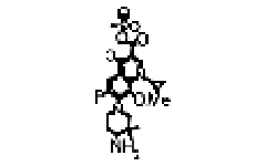 COc1c(N2CCC(N)C(C)(C)C2)c(F)cc2c(=O)c(C(=O)OS(C)(=O)=O)cn(C3CC3)c12